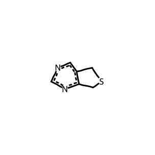 c1ncc2c(n1)CSC2